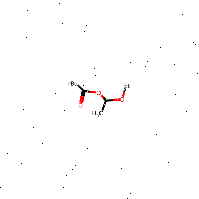 C[CH]OC(C)OC(=O)CCCC